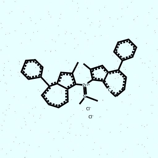 Cc1cc2c(-c3ccccc3)ccccc-2[c]1[Zr+2]([c]1c(C)cc2c(-c3ccccc3)ccccc1-2)=[Si](C)C.[Cl-].[Cl-]